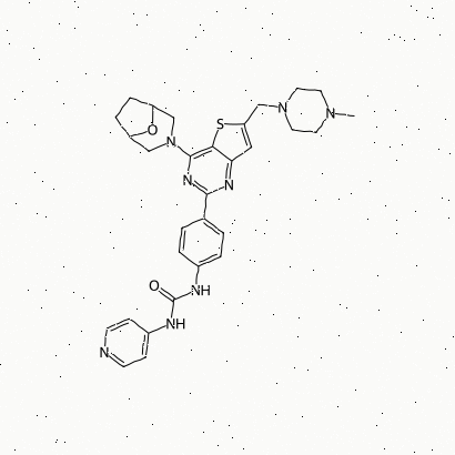 CN1CCN(Cc2cc3nc(-c4ccc(NC(=O)Nc5ccncc5)cc4)nc(N4CC5CCC(C4)O5)c3s2)CC1